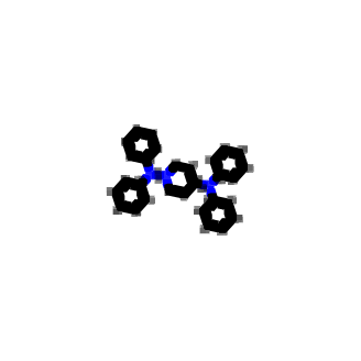 C1=CN(N(c2ccccc2)c2ccccc2)CC=C1N(c1ccccc1)c1ccccc1